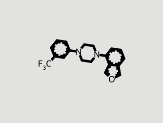 FC(F)(F)c1cccc(N2CCN(c3cccc4cocc34)CC2)c1